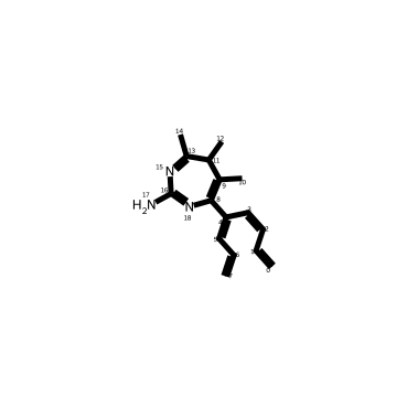 C=C/C=C\C(=C/C=C)C1=C(C)C(C)C(C)=NC(N)=N1